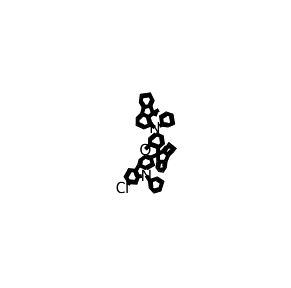 CC1(C)c2ccccc2-c2cccc(N(c3ccccc3)c3ccc4c(c3)Oc3cc5c6ccc(Cl)cc6n(-c6ccccc6)c5cc3C43c4ccccc4-c4ccccc43)c21